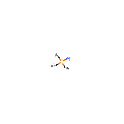 CCC[PH](N)(CCC)CCC